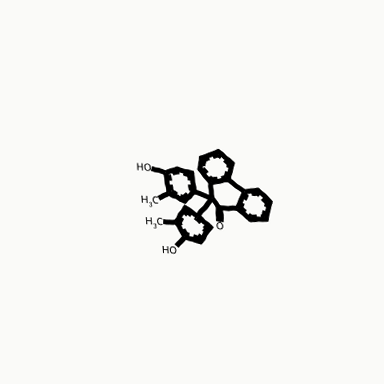 Cc1cc(C2(c3ccc(O)c(C)c3)C(=O)c3ccccc3-c3ccccc32)ccc1O